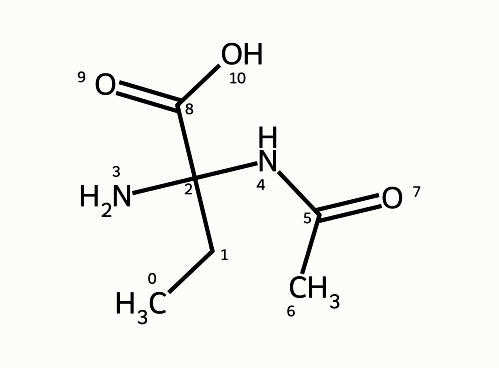 CCC(N)(NC(C)=O)C(=O)O